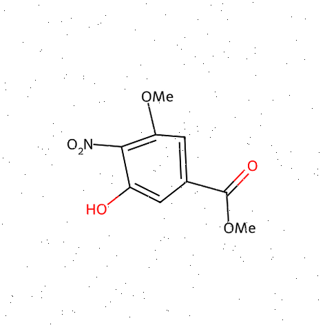 COC(=O)c1cc(O)c([N+](=O)[O-])c(OC)c1